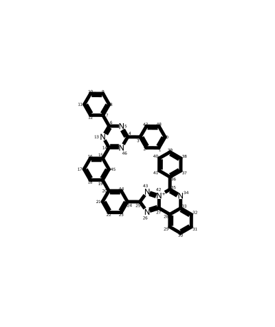 c1ccc(-c2nc(-c3ccccc3)nc(-c3cccc(-c4cccc(C5N=c6c7ccccc7nc(-c7ccccc7)[n+]6=N5)c4)c3)n2)cc1